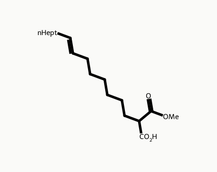 CCCCCCCC=CCCCCCCC(C(=O)O)C(=O)OC